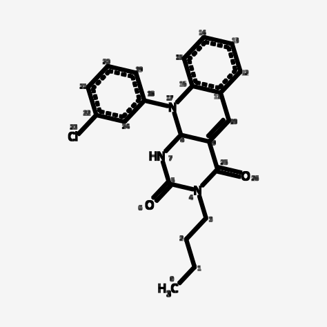 CCCCN1C(=O)NC2C(=Cc3ccccc3N2c2cccc(Cl)c2)C1=O